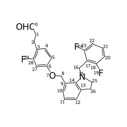 O=CCCc1ccc(OCc2cccc3c2N(Cc2c(F)cccc2F)CC3)cc1F